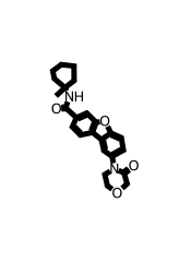 CC1(NC(=O)c2ccc3c(c2)oc2ccc(N4CCOCC4=O)cc23)CCCCC1